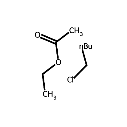 CCCCCCl.CCOC(C)=O